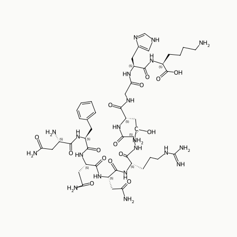 N=C(N)NCCC[C@H](NC(=O)[C@H](CC(N)=O)NC(=O)[C@H](CC(N)=O)NC(=O)[C@H](Cc1ccccc1)NC(=O)[C@@H](N)CC(N)=O)C(=O)N[C@@H](CO)C(=O)N[C@@H](CCN)C(=O)NCC(=O)N[C@@H](Cc1c[nH]cn1)C(=O)N[C@@H](CCCCN)C(=O)O